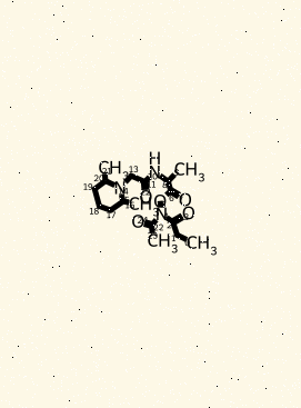 CCC(=O)N(OC(=O)C(C)NC(=O)CN1C(C)CCCC1C)C(C)=O